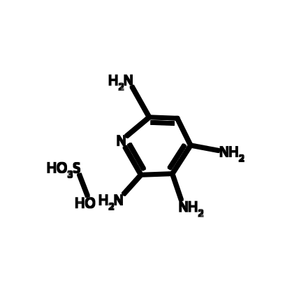 Nc1cc(N)c(N)c(N)n1.O=S(=O)(O)O